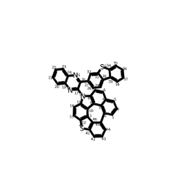 c1cc2c3c(c1)ccc1c3c3c4c(ccc3n1-c1nc3ccccc3nc1-c1ccc3c(c1)sc1ccccc13)sc1cccc-2c14